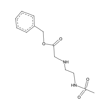 CS(=O)(=O)NCCNCC(=O)OCc1ccccc1